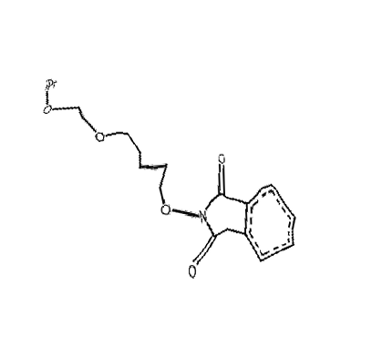 CC(C)OCOCCCON1C(=O)c2ccccc2C1=O